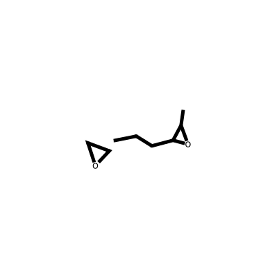 C1CO1.CCCC1OC1C